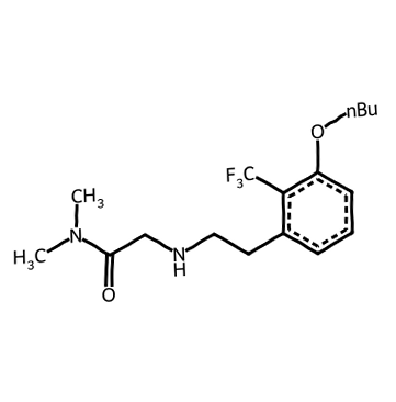 CCCCOc1cccc(CCNCC(=O)N(C)C)c1C(F)(F)F